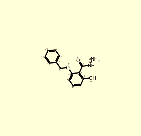 NNC(=O)c1c(O)cccc1OCc1ccccc1